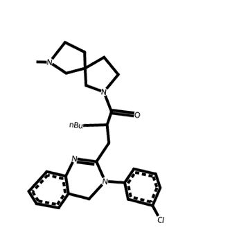 CCCCC(CC1=Nc2ccccc2CN1c1cccc(Cl)c1)C(=O)N1CCC2(CCN(C)C2)C1